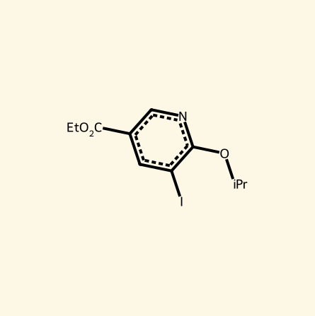 CCOC(=O)c1cnc(OC(C)C)c(I)c1